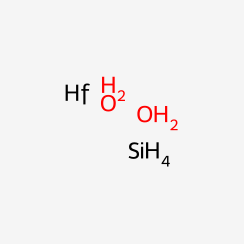 O.O.[Hf].[SiH4]